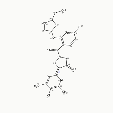 CC1=N/C(=C2\CN(C(=O)c3ccc(F)cc3OC3CNC(CO)C3)CC2=N)NC(C)=C1Cl